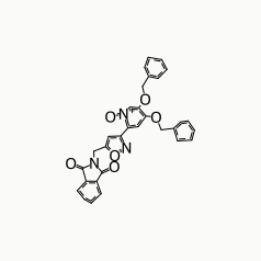 O=C1c2ccccc2C(=O)N1Cc1cc(-c2cc(OCc3ccccc3)c(OCc3ccccc3)c[n+]2[O-])no1